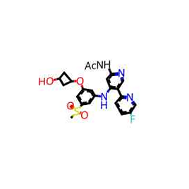 CC(=O)Nc1cc(Nc2cc(OC3CC(O)C3)cc(S(C)(=O)=O)c2)c(-c2ccc(F)cn2)cn1